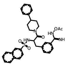 CC(=O)ONC(=N)c1cccc(CC(NS(=O)(=O)c2ccc3ccccc3c2)C(=O)N2CCC(c3ccccc3)CC2)c1